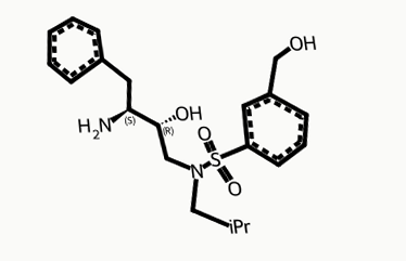 CC(C)CN(C[C@@H](O)[C@@H](N)Cc1ccccc1)S(=O)(=O)c1cccc(CO)c1